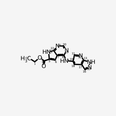 CCOC(=O)c1cc2c(Nc3cnc4[nH]ncc4c3)ncnc2[nH]1